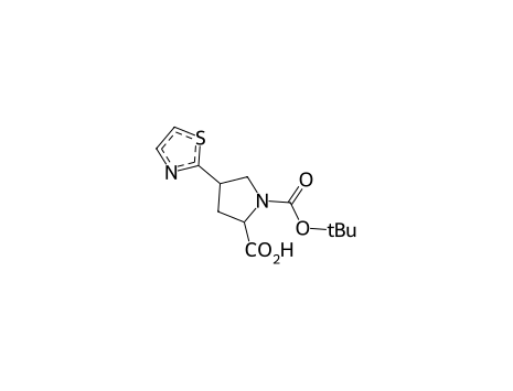 CC(C)(C)OC(=O)N1CC(c2nccs2)CC1C(=O)O